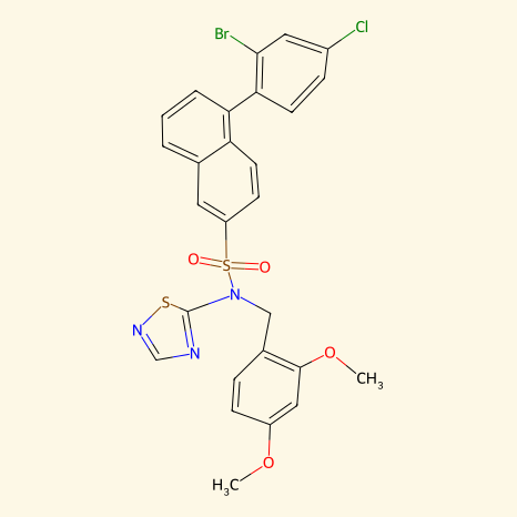 COc1ccc(CN(c2ncns2)S(=O)(=O)c2ccc3c(-c4ccc(Cl)cc4Br)cccc3c2)c(OC)c1